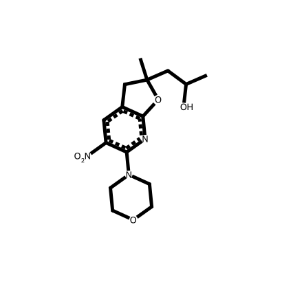 CC(O)CC1(C)Cc2cc([N+](=O)[O-])c(N3CCOCC3)nc2O1